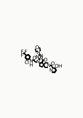 O=C(Cn1c2c(c(=O)n3nc(N4CCOCC4)nc13)C1(CC2)CCN(C(=O)c2ncccc2O)CC1)Nc1ccc(C(F)(F)F)cc1Cl